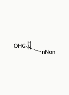 CCCCCCCCCCCCCCCCCCNCCCC=O